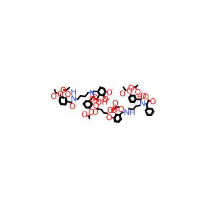 COc1ccc(CN(CCCCNC(=O)c2cccc(OC(C)=O)c2OC(C)=O)C(=O)c2cccc(OC(C)=O)c2OC(=O)CCC(=O)Oc2cccc(C(O)NCCCCN(C(=O)c3cccc(OC(C)=O)c3OC(C)=O)C(C(=O)O)c3ccccc3)c2OC(C)=O)c(C(=O)O)c1OC